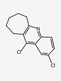 Clc1ccc2nc3c(c(Cl)c2c1)CCCCC3